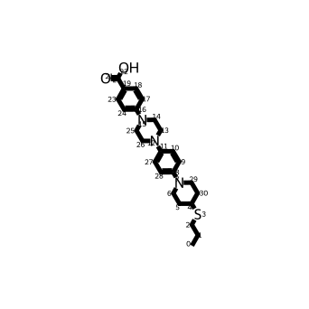 CCCSC1CCN(c2ccc(N3CCN(c4ccc(C(=O)O)cc4)CC3)cc2)CC1